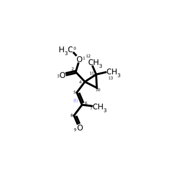 COC(=O)C1(/C=C(\C)C=O)CC1(C)C